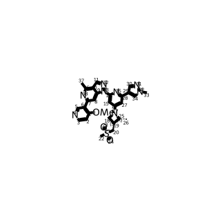 COc1ccncc1-c1cc2c(cnn2-c2cc(N3C[C@H](CS(C)(=O)=O)[C@H]3C)cc(-c3cnn(C)c3)n2)c(C)n1